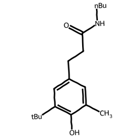 CCCCNC(=O)CCc1cc(C)c(O)c(C(C)(C)C)c1